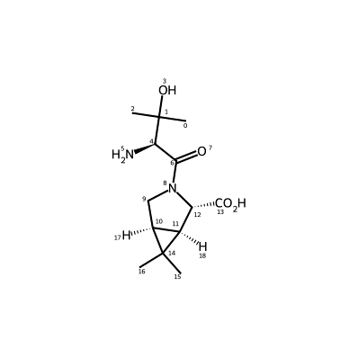 CC(C)(O)[C@H](N)C(=O)N1C[C@H]2[C@@H]([C@H]1C(=O)O)C2(C)C